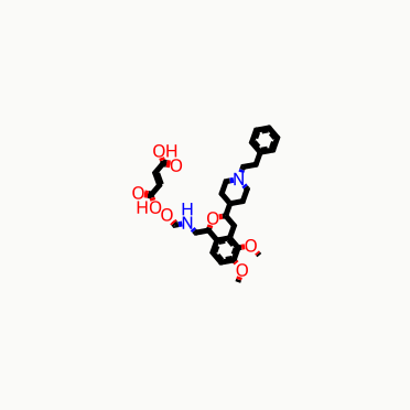 COc1ccc2c(c1OC)CC(C1CCN(CCc3ccccc3)CC1)OC2CNC=O.O=C(O)C=CC(=O)O